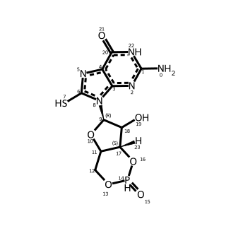 Nc1nc2c(nc(S)n2[C@@H]2OC3CO[PH](=O)O[C@H]3C2O)c(=O)[nH]1